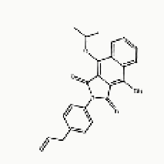 CC(C)Oc1c2c(c(O)c3ccccc13)C(=O)N(c1ccc(CC=O)cc1)C2=O